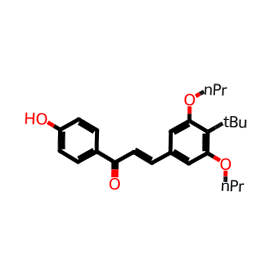 CCCOc1cc(C=CC(=O)c2ccc(O)cc2)cc(OCCC)c1C(C)(C)C